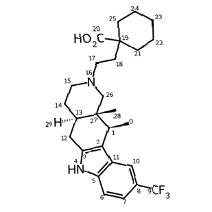 C[C@H]1c2c([nH]c3ccc(C(F)(F)F)cc23)C[C@H]2CCN(CCC3(C(=O)O)CCCCC3)C[C@@]21C